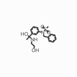 CC(O)(NCCO)c1cccc(N(Cc2ccccc2)S(C)(=O)=O)c1